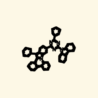 c1ccc(-c2nc(-c3ccc4c(-c5ccccc5)c5c6ccccc6c6ccccc6n5c4c3)nc(-n3c4ccccc4c4ccccc43)n2)cc1